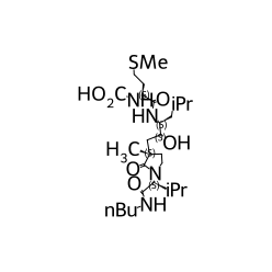 CCCCNC(=O)[C@H](C(C)C)N1CC[C@@](C)(C[C@H](O)[C@H](CC(C)C)NC(=O)[C@H](CCSC)NC(=O)O)C1=O